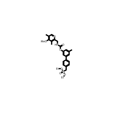 CCOP(=O)(Cc1ccc(-c2cc(C)cc(OC(=O)NCc3ncc(C)c(OC)c3C)c2)cc1)OCC